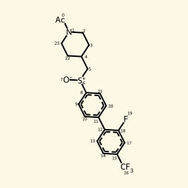 CC(=O)N1CCC(C[S+]([O-])c2ccc(-c3ccc(C(F)(F)F)cc3F)cc2)CC1